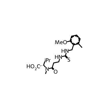 COc1cccc(C)c1CNC(=S)NCCC(=O)N(C)[C@H](C(=O)O)C(C)C